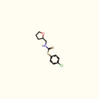 S=C(NCC1CCCO1)Sc1ccc(Cl)cc1